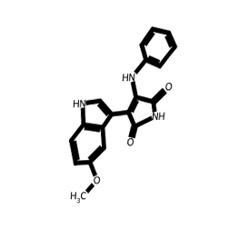 COc1ccc2[nH]cc(C3=C(Nc4ccccc4)C(=O)NC3=O)c2c1